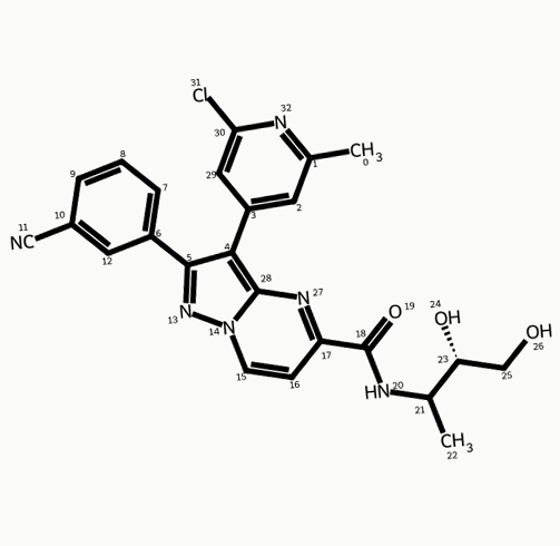 Cc1cc(-c2c(-c3cccc(C#N)c3)nn3ccc(C(=O)NC(C)[C@H](O)CO)nc23)cc(Cl)n1